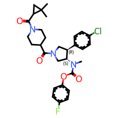 CN(C(=O)Oc1ccc(F)cc1)[C@@H]1CN(C(=O)C2CCN(C(=O)C3CC3(C)C)CC2)C[C@H]1c1ccc(Cl)cc1